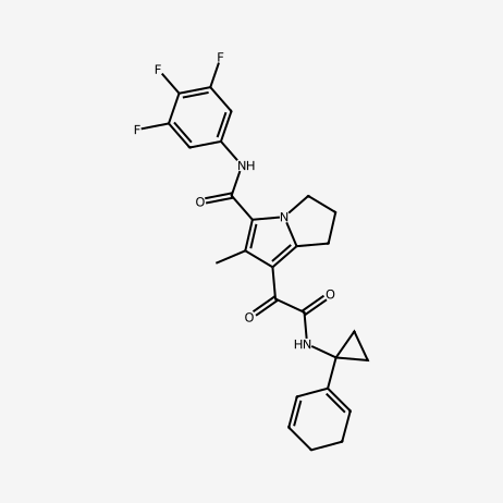 Cc1c(C(=O)C(=O)NC2(C3=CCCC=C3)CC2)c2n(c1C(=O)Nc1cc(F)c(F)c(F)c1)CCC2